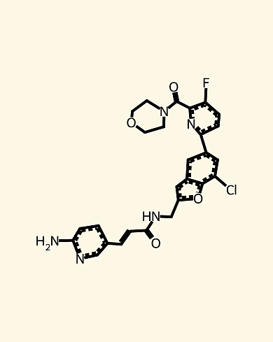 Nc1ccc(/C=C/C(=O)NCc2cc3cc(-c4ccc(F)c(C(=O)N5CCOCC5)n4)cc(Cl)c3o2)cn1